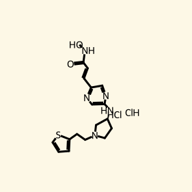 Cl.Cl.O=C(/C=C/c1cnc(N[C@@H]2CCN(CCc3cccs3)C2)cn1)NO